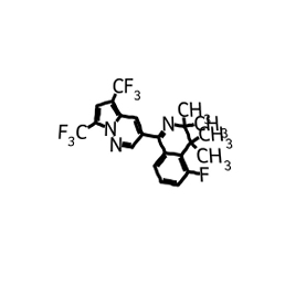 CC1(C)N=C(c2cnn3c(C(F)(F)F)cc(C(F)(F)F)c3c2)c2cccc(F)c2C1(C)C